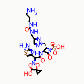 NCCCNC(=O)NCc1cnn(C[C@H]2C(NC(=O)/C(=N\OC3(C(=O)O)CC3)c3csc(N)n3)C(=O)N2S(=O)(=O)O)n1